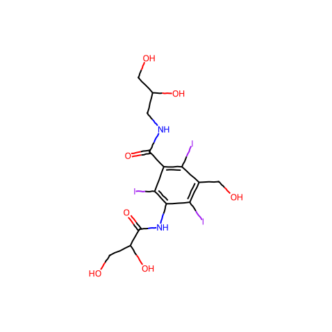 O=C(NCC(O)CO)c1c(I)c(CO)c(I)c(NC(=O)C(O)CO)c1I